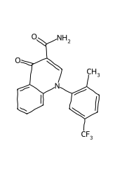 Cc1ccc(C(F)(F)F)cc1-n1cc(C(N)=O)c(=O)c2ccccc21